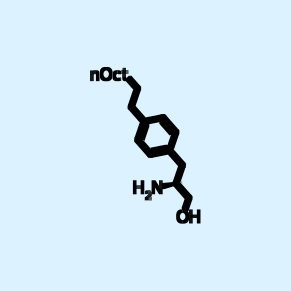 CCCCCCCCCCc1ccc(C[C@H](N)CO)cc1